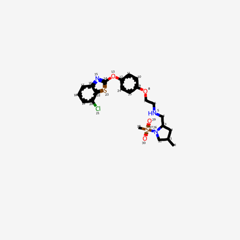 CC1CC(CNCCOc2ccc(Oc3nc4cccc(Cl)c4s3)cc2)N(S(C)(=O)=O)C1